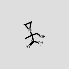 CC(CO)(C(=O)O)N1CC1